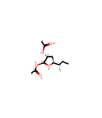 CC[C@H](C)[C@@H]1C[C@@H](OC(C)=O)C(OC(C)=O)O1